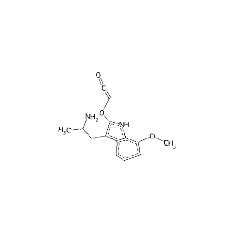 COc1cccc2c(CC(C)N)c(OC=C=O)[nH]c12